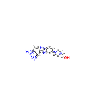 Nc1ccc(-c2nc3cc(N4CCN(CCO)CC4)ccc3[nH]2)cc1N